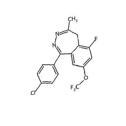 CC1=NN=C(c2ccc(Cl)cc2)c2cc(OC(F)(F)F)cc(F)c2C1